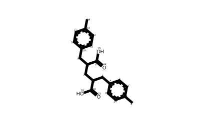 Cc1ccc(CC(CC(Cc2ccc(C)cc2)C(=O)O)C(=O)O)cc1